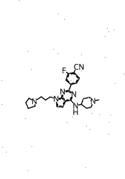 CN1CCC(Nc2nc(-c3ccc(C#N)c(F)c3)nc3c2ccn3CCCN2CCCC2)CC1